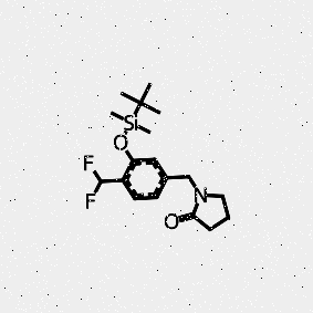 CC(C)(C)[Si](C)(C)Oc1cc(CN2CCCC2=O)ccc1C(F)F